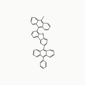 Cc1c2ccccc2c(-c2cccc3c2sc2ccc(-c4c5ccccc5c(-c5ccccc5)c5ccccc45)cc23)c2ccccc12